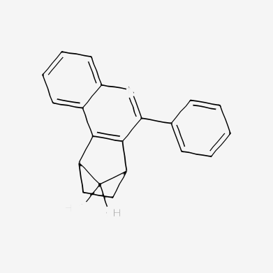 CC1(C)C2CCC1c1c2c(-c2ccccc2)nc2ccccc12